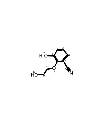 Cc1cccc(C#N)c1OCCO